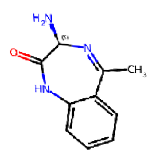 CC1=N[C@H](N)C(=O)Nc2ccccc21